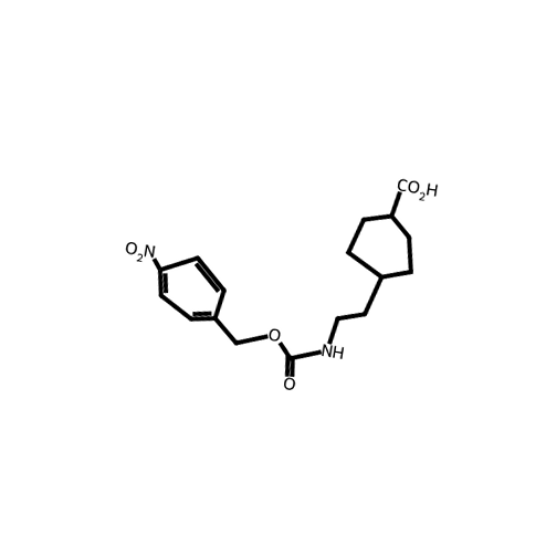 O=C(NCCC1CCC(C(=O)O)CC1)OCc1ccc([N+](=O)[O-])cc1